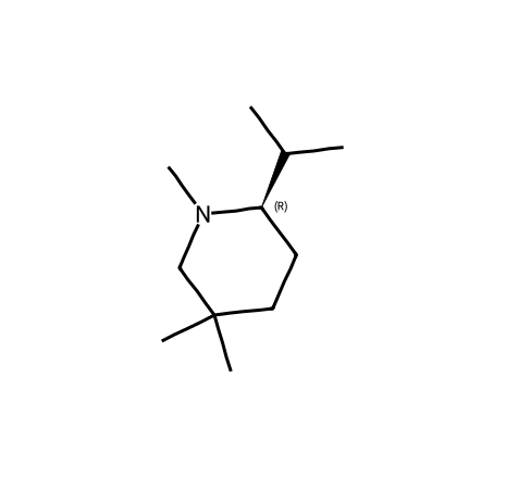 CC(C)[C@H]1CCC(C)(C)CN1C